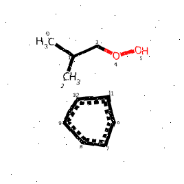 CC(C)COO.c1ccccc1